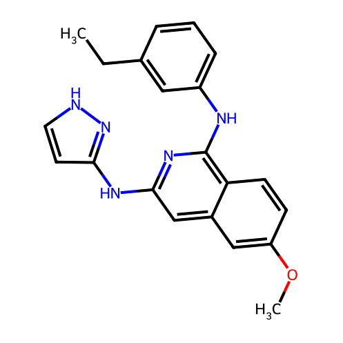 CCc1cccc(Nc2nc(Nc3cc[nH]n3)cc3cc(OC)ccc23)c1